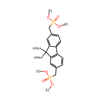 CCCCCCC1(CCCCCC)c2cc(CP(=O)(OCC)OCC)ccc2-c2ccc(CP(=O)(OCC)OCC)cc21